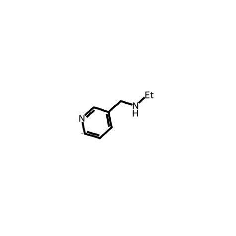 CCNCc1cc[c]nc1